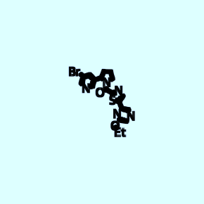 CCOc1cncc(-c2cnc(C(=O)N3CCCC3c3cncc(Br)c3)s2)n1